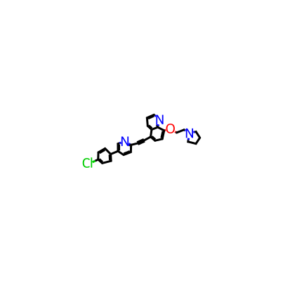 Clc1ccc(-c2ccc(C#Cc3ccc(OCCN4CCCC4)c4ncccc34)nc2)cc1